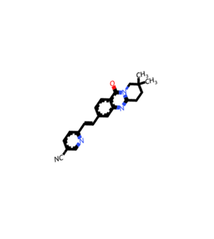 CC1(C)CCc2nc3cc(C=Cc4ccc(C#N)cn4)ccc3c(=O)n2C1